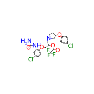 NC(=O)Nc1cc(Cl)ccc1OCC(CN1CCC(Oc2ccc(Cl)cc2)C1)OC(=O)C(F)(F)F